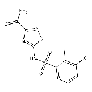 Cc1c(Cl)cccc1S(=O)(=O)Nc1nc(C(N)=O)ns1